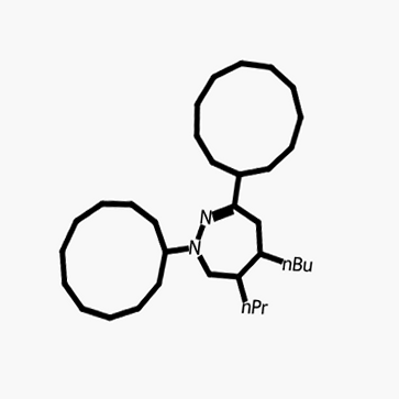 CCCCC1CC(C2CCCCCCCCCC2)=NN(C2CCCCCCCCCC2)CC1CCC